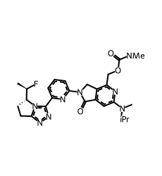 CNC(=O)OCc1nc(N(C)C(C)C)cc2c1CN(c1cccc(-c3nnc4n3[C@@H]([C@@H](C)F)CC4)n1)C2=O